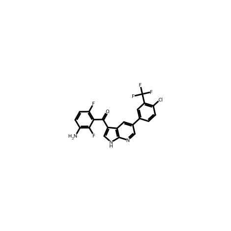 Nc1ccc(F)c(C(=O)c2c[nH]c3ncc(-c4ccc(Cl)c(C(F)(F)F)c4)cc23)c1F